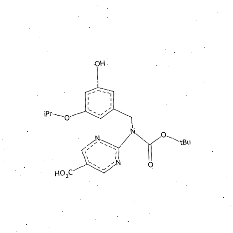 CC(C)Oc1cc(O)cc(CN(C(=O)OC(C)(C)C)c2ncc(C(=O)O)cn2)c1